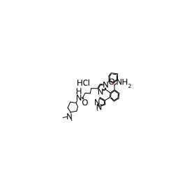 CN(C)C1CCC(NC(=O)CCCc2cn(-c3ccccc3)c(-c3c(C(N)=O)cccc3-c3cnn(C)c3)n2)CC1.Cl